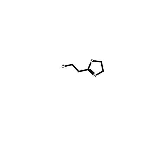 [O]CCC1=NCCS1